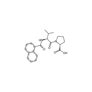 CC(C)[C@H](NC(=O)c1cccc2ccccc12)C(=O)N1CCC[C@H]1C(=O)O